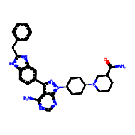 NC(=O)C1CCCN([C@H]2CC[C@H](n3nc(-c4ccc5[nH]c(Cc6ccccc6)nc5c4)c4c(N)ncnc43)CC2)C1